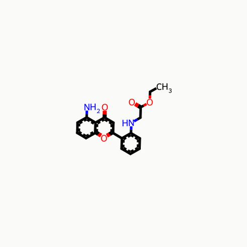 CCOC(=O)CNc1ccccc1-c1cc(=O)c2c(N)cccc2o1